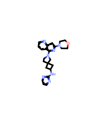 c1cnc(NC2CC3(CCN(c4nc(N5CCOCC5)cc5ncccc45)C3)C2)nc1